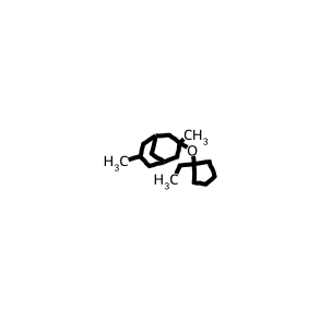 CCC1(OC2(C)CC3CC(C)CC(C3)C2)CCCC1